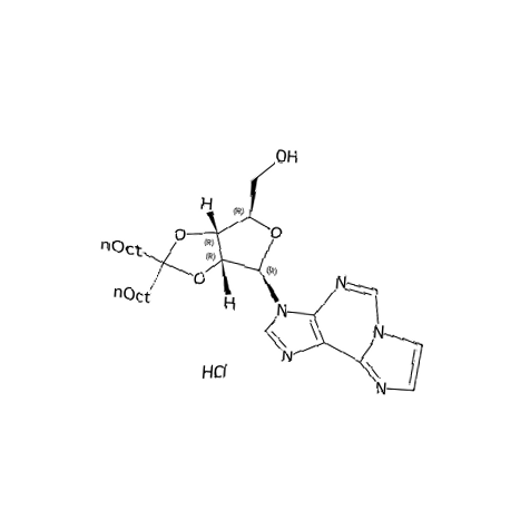 CCCCCCCCC1(CCCCCCCC)O[C@@H]2[C@H](O1)[C@@H](CO)O[C@H]2n1cnc2c1ncn1ccnc21.Cl